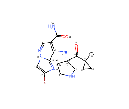 C[C@H]1CNC[C@]1(Nc1c(C(N)=O)cnn2cc(Br)nc12)C(=O)C1(C#N)CC1